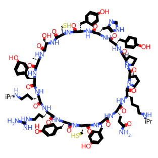 CC(C)NCCCC[C@@H]1NC(=O)[C@H](CCC(N)=O)NC(=O)[C@H](Cc2ccc(O)cc2)NC(=O)[C@H](CS)NC(=O)[C@H](Cc2ccc(O)cc2)NC(=O)[C@H](CCCNC(=N)N)NC(=O)[C@H](CCCNC(C)C)NC(=O)[C@@H](Cc2ccc(O)cc2)NC(=O)[C@H](C)NC(=O)[C@H](CO)NC(=O)[C@H](CS)NC(=O)[C@H](Cc2ccc(O)cc2)NC(=O)[C@H](Cc2c[nH]cn2)NC(=O)[C@H](Cc2ccc(O)cc2)NC(=O)[C@@H]2CCCN2C(=O)[C@H]2CCCN2C1=O